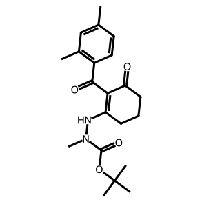 Cc1ccc(C(=O)C2=C(NN(C)C(=O)OC(C)(C)C)CCCC2=O)c(C)c1